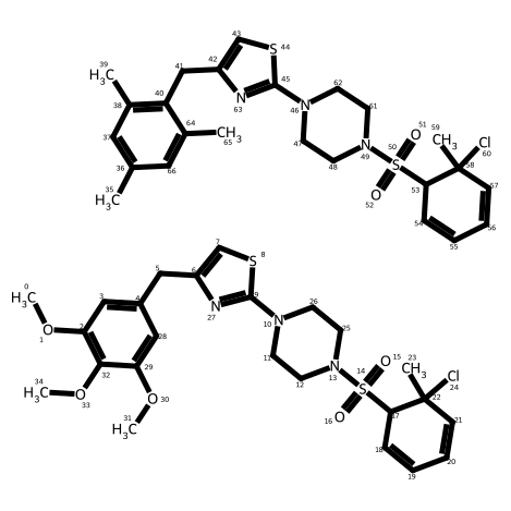 COc1cc(Cc2csc(N3CCN(S(=O)(=O)C4C=CC=CC4(C)Cl)CC3)n2)cc(OC)c1OC.Cc1cc(C)c(Cc2csc(N3CCN(S(=O)(=O)C4C=CC=CC4(C)Cl)CC3)n2)c(C)c1